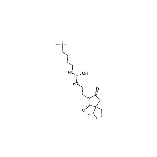 CCC1(C(C)C)CC(=O)N(CCNC(O)NCCCCC(C)(C)C)C1=O